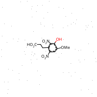 COc1cc([N+](=O)[O-])c(CCC(=O)O)c([N+](=O)[O-])c1O